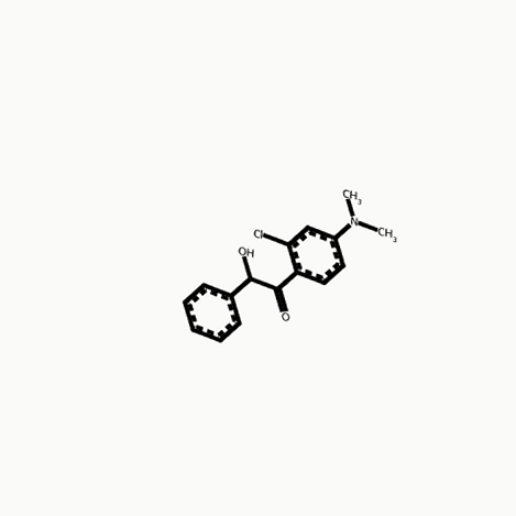 CN(C)c1ccc(C(=O)C(O)c2ccccc2)c(Cl)c1